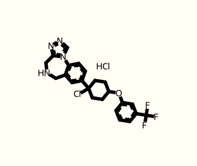 Cl.FC(F)(F)c1cccc(OC2CCC(Cl)(c3ccc4c(c3)CNCc3nncn3-4)CC2)c1